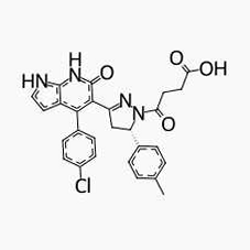 Cc1ccc([C@@H]2CC(c3c(-c4ccc(Cl)cc4)c4cc[nH]c4[nH]c3=O)=NN2C(=O)CCC(=O)O)cc1